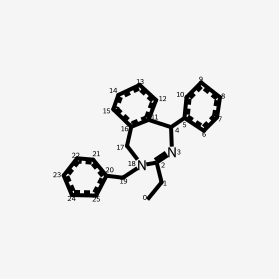 CCC1=NC(c2ccccc2)c2ccccc2CN1Cc1ccccc1